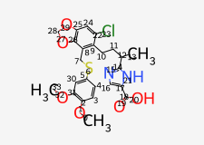 COc1ccc(SCc2c(CCC(C)c3ncc(C(=O)O)[nH]3)c(Cl)cc3c2OCO3)cc1OC